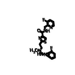 CN(CCc1nc(C(=O)NCc2ncccc2F)cs1)NN1c2cccc(F)c21